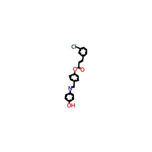 O=C(C=Cc1cccc(Cl)c1)Oc1ccc(/C=N/c2ccc(O)cc2)cc1